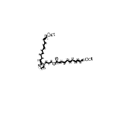 CCCCCCCCC=CCCCCCCCCC1=NCCN1CCCOC(=O)CCCCCCCC=CCCCCCCCC